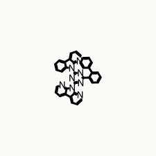 c1ccc(-c2ccccc2-c2nc(-n3c4ccccc4c4cccnc43)nc(-n3c4ncccc4c4cccnc43)n2)cc1